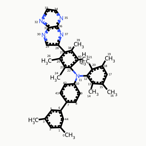 Cc1cc(C)cc(-c2ccc(N(c3c(C)c(C)cc(C)c3C)c3c(C)c(C)c(-c4cnc5nccnc5n4)c(C)c3C)cc2)c1